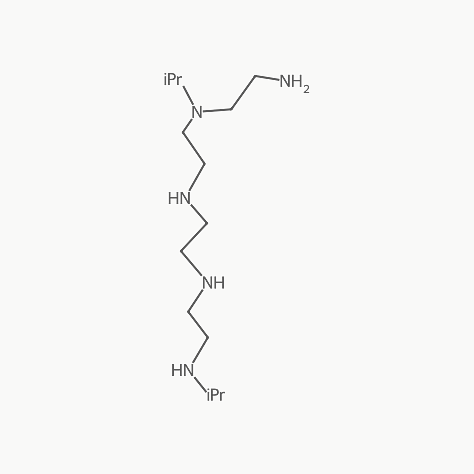 CC(C)NCCNCCNCCN(CCN)C(C)C